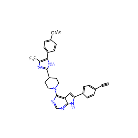 C#Cc1ccc(-c2cc3c(N4CCC(c5nc(C(F)(F)F)c(-c6ccc(OC)cc6)[nH]5)CC4)ncnc3[nH]2)cc1